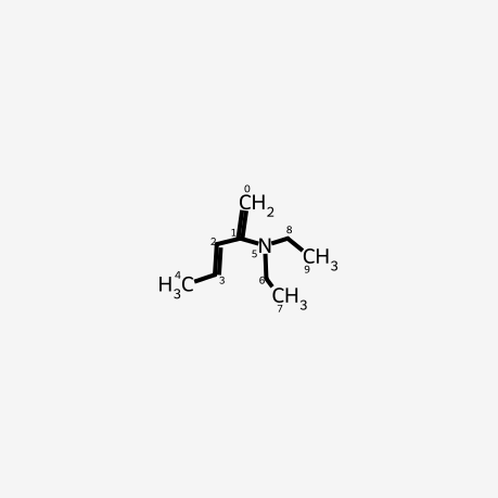 C=C(C=CC)N(CC)CC